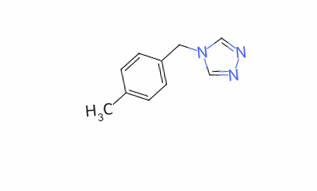 Cc1ccc(Cn2cnnc2)cc1